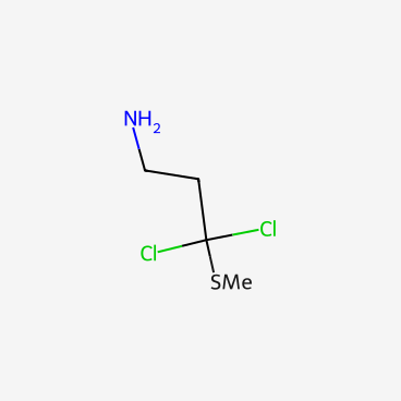 CSC(Cl)(Cl)CCN